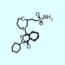 NS(=O)(=O)CCC1CCCCN(c2nn(C3CCCCC3)c(=O)c3ccccc23)C1